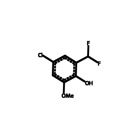 COc1cc(Cl)cc(C(F)F)c1O